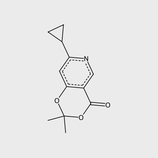 CC1(C)OC(=O)c2cnc(C3CC3)cc2O1